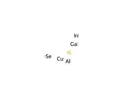 [Al].[Cu].[Ga].[In].[S].[Se]